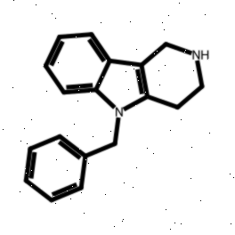 c1ccc(Cn2c3c(c4ccccc42)CNCC3)cc1